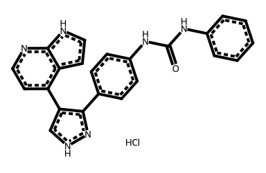 Cl.O=C(Nc1ccccc1)Nc1ccc(-c2n[nH]cc2-c2ccnc3[nH]ccc23)cc1